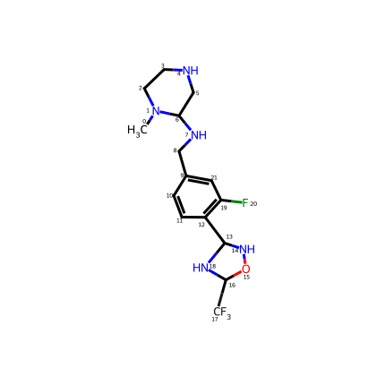 CN1CCNCC1NCc1ccc(C2NOC(C(F)(F)F)N2)c(F)c1